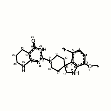 COc1ccc(F)c2c1NCC21CCN(c2nc3c(c(=O)[nH]2)CCCN3)CC1